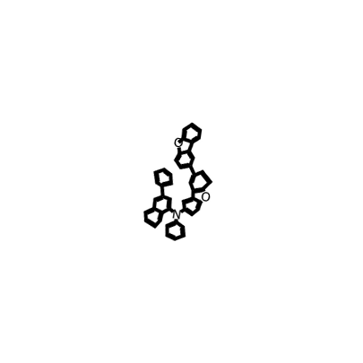 c1ccc(-c2cc(N(c3ccccc3)c3ccc4oc5ccc(-c6ccc7oc8ccccc8c7c6)cc5c4c3)c3ccccc3c2)cc1